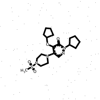 CS(=O)(=O)N1CCN(c2cnn(C3CCCC3)c(=O)c2OC2CCCC2)CC1